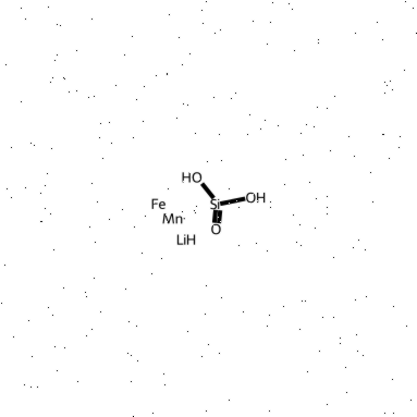 O=[Si](O)O.[Fe].[LiH].[Mn]